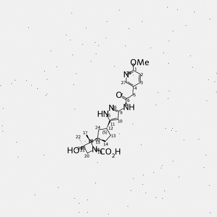 COc1ccc(CC(=O)Nc2cc([C@H]3CC[C@@H]([C@]4(C)N(C(=O)O)C[C@@]4(C)O)C3)[nH]n2)cn1